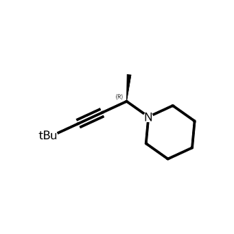 C[C@H](C#CC(C)(C)C)N1CCCCC1